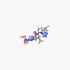 CC1CC(c2cccc(-n3cc(C4CC4)c4cc(CN[C@@H]5COC[C@@H]5O)[nH]c4c3=O)c2)(c2nncn2C)C1